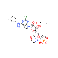 CC(CN1CCOCC1)(OC[C@H]1O[C@@H](n2ccc3c(NC4CCCC4)nc(Cl)nc32)[C@H](O)[C@@H]1O)P(=O)(O)O